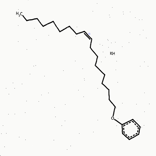 CCCCCCCC/C=C\CCCCCCCCOc1ccccc1.[KH]